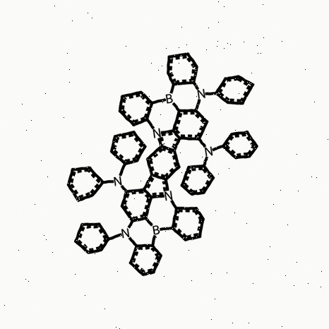 c1ccc(N2c3ccccc3B3c4ccccc4-n4c5cc6c7c(N(c8ccccc8)c8ccccc8)cc8c9c7n(c6cc5c5c(N(c6ccccc6)c6ccccc6)cc2c3c54)-c2ccccc2B9c2ccccc2N8c2ccccc2)cc1